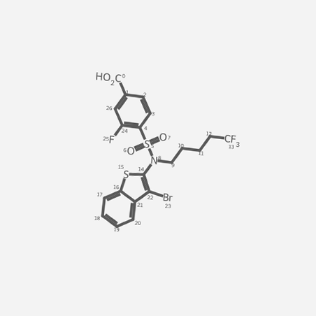 O=C(O)c1ccc(S(=O)(=O)N(CCCCC(F)(F)F)c2sc3ccccc3c2Br)c(F)c1